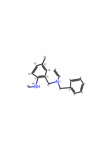 C=CN(Cc1ccccc1)Cc1cc(C)ccc1NC